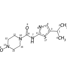 CC(C)c1cnc(NC(=O)N2CCN(O)CC2)s1